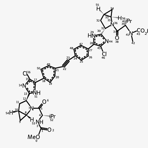 COC(=O)N[C@H](C(=O)N1[C@@H]2C[C@@H]2C[C@H]1c1nc(Cl)c(-c2ccc(C#Cc3ccc(-c4[nH]c([C@@H]5C[C@H]6C[C@H]6N5C(=O)[C@H](C(C)C)N(C)C(=O)O)nc4Cl)cc3)cc2)[nH]1)C(C)C